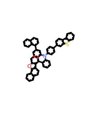 c1cc(-c2cccc3ccccc23)cc(N(c2ccc(-c3ccc4c(c3)sc3ccccc34)cc2)c2ccccc2-c2cccc3oc4c5ccccc5ccc4c23)c1